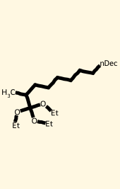 CCCCCCCCCCCCCCCCC(C)C(OCC)(OCC)OCC